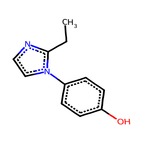 CCc1nccn1-c1ccc(O)cc1